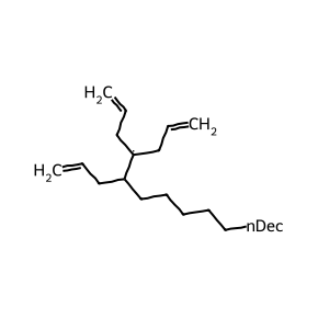 C=CC[C](CC=C)C(CC=C)CCCCCCCCCCCCCCC